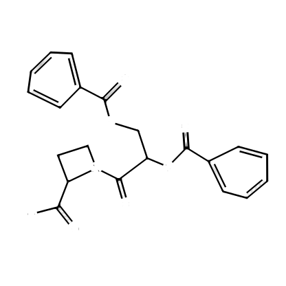 O=C(SCC(SC(=O)c1ccccc1)C(=O)N1CCC1C(=O)O)c1ccccc1